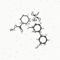 CC(C)OC(=O)N1CCC[C@H](NS(C)(=O)=O)[C@@H]1Cc1cccc(-c2cccc(F)c2)n1